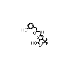 O=C(Cc1cccc(O)c1)Nc1nc(C(F)(F)F)c(C(=O)O)s1